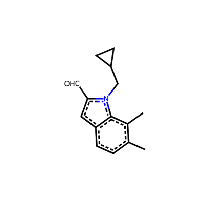 Cc1ccc2cc(C=O)n(CC3CC3)c2c1C